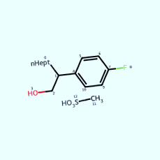 CCCCCCCC(CO)c1ccc(F)cc1.CS(=O)(=O)O